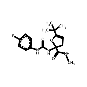 CNC(=O)C1(NC(=O)Nc2ccc(F)cc2)CC=C(C(C)(C)C)O1